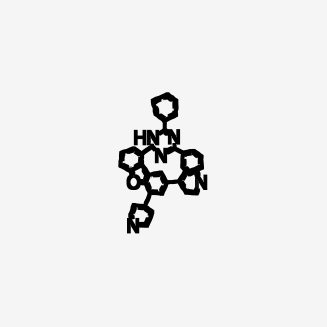 c1ccc(C2=NC(c3cccc4oc5c(-c6ccncc6)cc(-c6ccncc6)cc5c34)NC(c3ccccc3)=N2)cc1